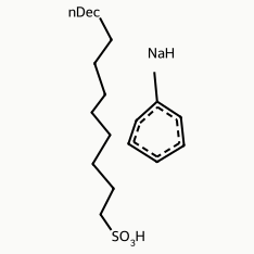 CCCCCCCCCCCCCCCCCCS(=O)(=O)O.Cc1ccccc1.[NaH]